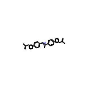 C=C(C)COc1ccc(/C=C(\C)c2ccc(OCC(=C)C)cc2)cc1